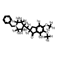 [2H]c1c2c(c([2H])c(OC([2H])([2H])[2H])c1OC([2H])([2H])[2H])C(=O)C([2H])(C([2H])([2H])C1([2H])C([2H])([2H])C([2H])([2H])N(Cc3ccccc3)C([2H])([2H])C1([2H])[2H])C2